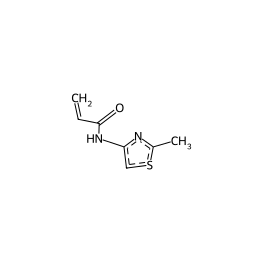 C=CC(=O)Nc1csc(C)n1